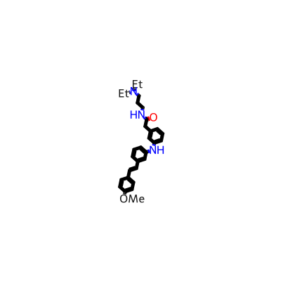 CCN(CC)CCCNC(=O)Cc1cccc(Nc2cccc(/C=C/c3ccc(OC)cc3)c2)c1